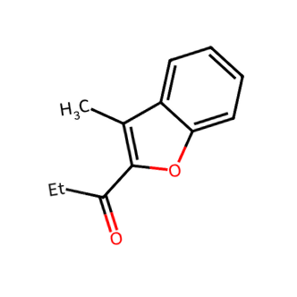 CCC(=O)c1oc2ccccc2c1C